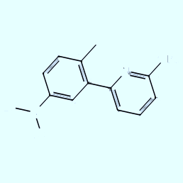 CC[S+]([O-])c1ccc(C)c(-c2cccc(C(C)(C)C)n2)c1